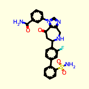 NC(=O)c1cccc(-n2cnc3c2C(=O)CC(c2ccc(-c4ccccc4S(N)(=O)=O)cc2F)NC3)c1